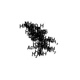 CC(=O)N[C@@H](CS)C(=O)N[C@H](CCCNC(=N)N)C(=O)N[C@H](CCCNC(=N)N)C(=O)N[C@@H](CCCNC(=N)N)C(=O)N[C@@H](Cc1ccc2ccccc2c1)C(=O)N[C@@H](Cc1c[nH]c2ccccc12)C(=O)N[C@@H](CCC(N)=O)C(=O)N[C@H](C(=O)N[C@H](C(=O)N[C@@H](CCCNC(=N)N)C(=O)N[C@H](C(=O)O)C(C)(C)C)[C@@H](C)O)C(C)(C)S